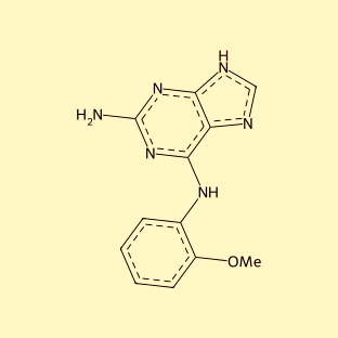 COc1ccccc1Nc1nc(N)nc2[nH]cnc12